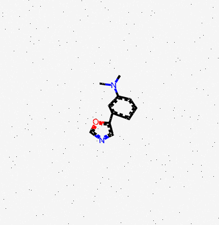 CN(C)c1cccc(-c2cnco2)c1